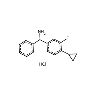 Cl.N[C@@H](c1ccccc1)c1ccc(C2CC2)c(F)c1